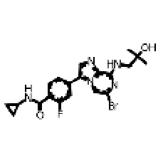 CC(C)(O)CNc1nc(Br)cn2c(-c3ccc(C(=O)NC4CC4)c(F)c3)cnc12